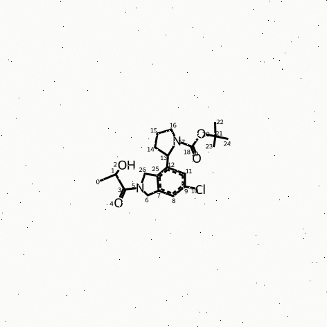 CC(O)C(=O)N1Cc2cc(Cl)cc(C3CCCN3C(=O)OC(C)(C)C)c2C1